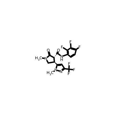 CN1C[C@H](c2cc(C(F)(F)F)nn2C)[C@@H](C(=O)Nc2ccc(F)c(F)c2F)C1=O